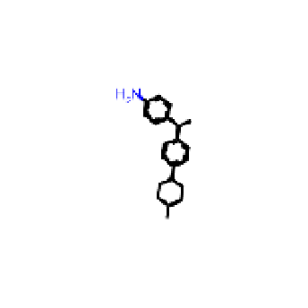 CC1CCC(c2ccc(C(C)c3ccc(N)cc3)cc2)CC1